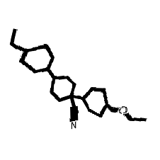 CCOC1CCC(C2(C#N)CCC(C3CCC(CC)CC3)CC2)CC1